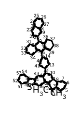 CC1(C)c2ccccc2-c2cc(-c3ccc(-c4c5c(c(-c6ccc7ccccc7c6)c6ccccc46)=CCCC=5)cc3)c3cc4c(cc3c21)sc1ccccc14